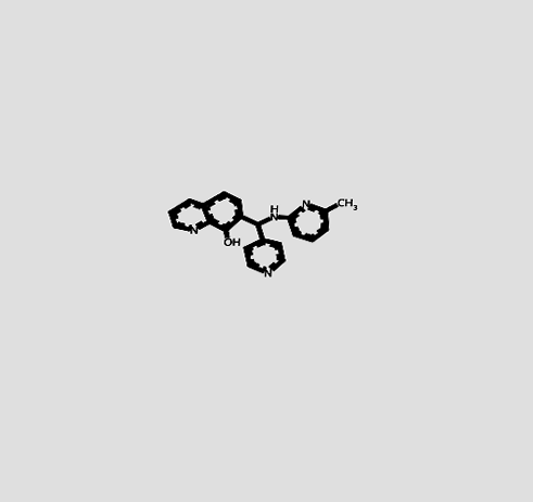 Cc1cccc(NC(c2ccncc2)c2ccc3cccnc3c2O)n1